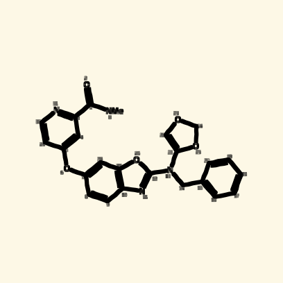 CNC(=O)c1cc(Oc2ccc3nc(N(Cc4ccccc4)C4=COCO4)oc3c2)ccn1